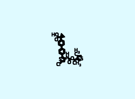 Cc1cscc1C(C)OC(=O)Nc1cc(Cl)sc1-c1ccc(-c2ccc(C3(C(=O)O)CC3)cc2)cc1